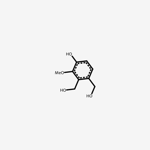 COc1c(O)ccc(CO)c1CO